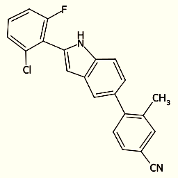 Cc1cc(C#N)ccc1-c1ccc2[nH]c(-c3c(F)cccc3Cl)cc2c1